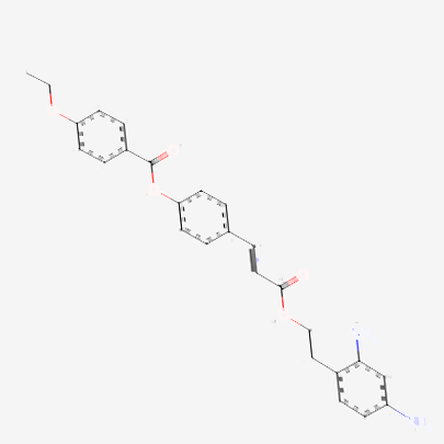 CCOc1ccc(C(=O)Oc2ccc(/C=C/C(=O)OCCc3ccc(N)cc3N)cc2)cc1